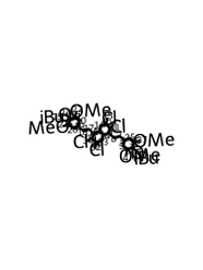 CCC(C)Oc1c(OC)cc(/C=C/c2c(Cl)c(Cl)cc3c(/C=C/c4cc(OC)c(OC(C)CC)c(OC)c4)c(Cl)c(Cl)cc23)cc1OC